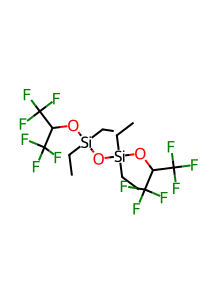 CC[Si](CC)(OC(C(F)(F)F)C(F)(F)F)O[Si](CC)(CC)OC(C(F)(F)F)C(F)(F)F